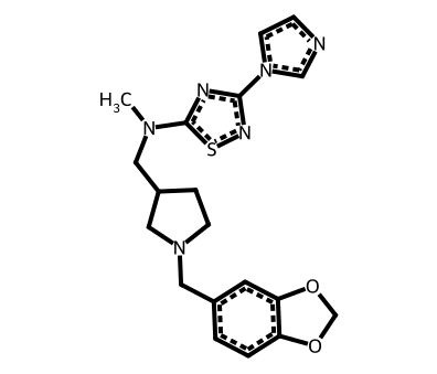 CN(CC1CCN(Cc2ccc3c(c2)OCO3)C1)c1nc(-n2ccnc2)ns1